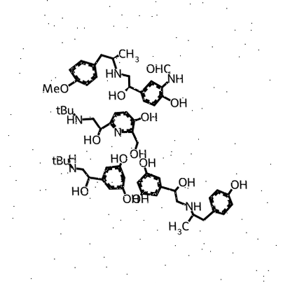 CC(C)(C)NCC(O)c1cc(O)cc(O)c1.CC(C)(C)NCC(O)c1ccc(O)c(CO)n1.CC(Cc1ccc(O)cc1)NCC(O)c1cc(O)cc(O)c1.COc1ccc(C[C@@H](C)NC[C@H](O)c2ccc(O)c(NC=O)c2)cc1